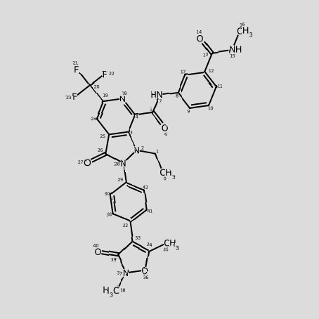 CCn1c2c(C(=O)Nc3cccc(C(=O)NC)c3)nc(C(F)(F)F)cc2c(=O)n1-c1ccc(-c2c(C)on(C)c2=O)cc1